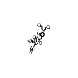 CCCCOC(=O)NC(Cc1ccc(N(CCCl)CCCl)cc1)C(=O)NCCCN=[N+]=[N-]